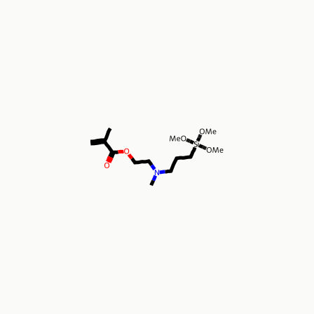 C=C(C)C(=O)OCCN(C)CCC[Si](OC)(OC)OC